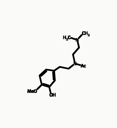 COc1ccc(CCN(CCN(C)C)C(C)=O)cc1O